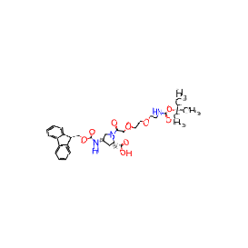 CC(C)(C)OC(=O)NCCOCCOCC(=O)N1C[C@@H](NC(=O)OCC2c3ccccc3-c3ccccc32)C[C@H]1C(=O)O